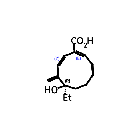 C=C1/C=C\C(C(=O)O)=C/CCCC[C@]1(O)CC